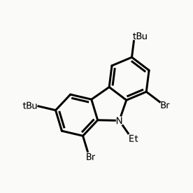 CCn1c2c(Br)cc(C(C)(C)C)cc2c2cc(C(C)(C)C)cc(Br)c21